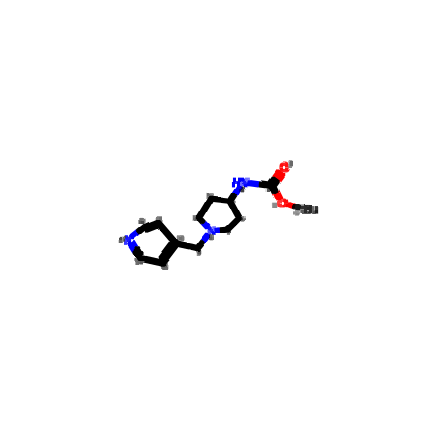 CC(C)(C)OC(=O)NC1CCN(Cc2ccncc2)CC1